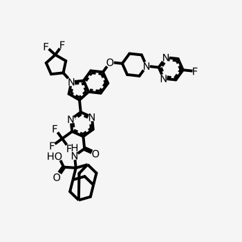 O=C(NC1(C(=O)O)C2CC3CC(C2)CC1C3)c1cnc(-c2cn(C3CCC(F)(F)C3)c3cc(OC4CCN(c5ncc(F)cn5)CC4)ccc23)nc1C(F)(F)F